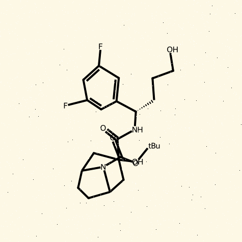 CC(C)(C)OC(=O)N1C2CCC1CC(O)(C(=O)N[C@@H](CCCO)c1cc(F)cc(F)c1)C2